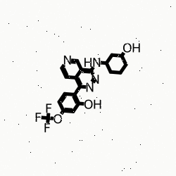 Oc1cc(OC(F)(F)F)ccc1-c1nnc(NC2CCCC(O)C2)c2cnccc12